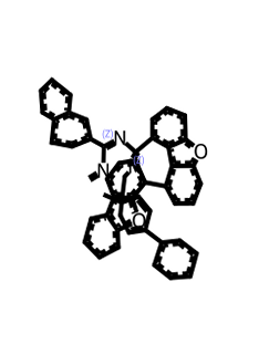 C=N/C(=N\C(=N/CC1(C)C=CC(c2ccccc2)=CC1)c1cccc2oc3cccc(-c4cccc5c4oc4ccccc45)c3c12)c1ccc2ccccc2c1